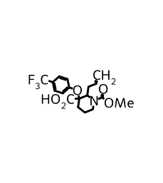 C=CCC1N(C(=O)OC)CCCC1(Oc1ccc(C(F)(F)F)cc1)C(=O)O